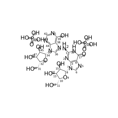 Nc1nc2c(ncn2[C@@H]2O[C@H](CO)[C@@H](O)[C@H]2O)c(=O)[nH]1.O=P(O)(O)O.O=P(O)(O)O.OC[C@H]1O[C@@H](n2cnc3c(O)ncnc32)[C@H](O)[C@@H]1O